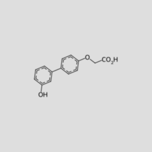 O=C(O)COc1ccc(-c2cccc(O)c2)cc1